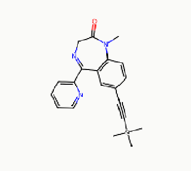 CN1C(=O)CN=C(c2ccccn2)c2cc(C#C[Si](C)(C)C)ccc21